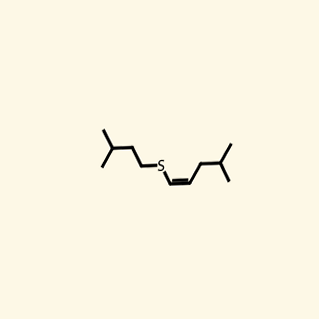 CC(C)C/C=C\SCCC(C)C